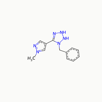 Cn1cc(C2=NNNN2Cc2ccccc2)cn1